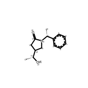 C[C@H](c1ccccc1)N1CC([C@@H](C)O)CC1=O